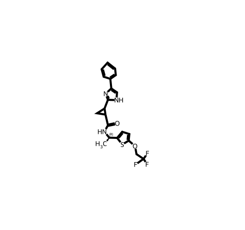 C[C@@H](NC(=O)C1CC1c1nc(-c2ccccc2)c[nH]1)c1ccc(OCC(F)(F)F)s1